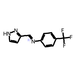 FC(F)(F)c1ccc(/N=[C]/c2cc[nH]n2)cc1